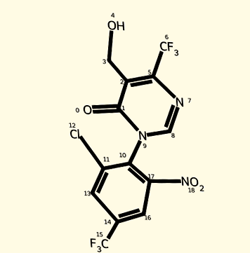 O=c1c(CO)c(C(F)(F)F)ncn1-c1c(Cl)cc(C(F)(F)F)cc1[N+](=O)[O-]